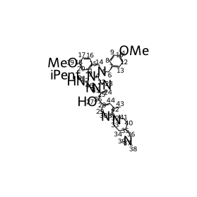 CCCC(C)Nc1nc(N(Cc2ccc(OC)cc2)Cc2ccc(OC)cc2)c2ncc(C(O)c3cnc(N4CCC(CN(C)C)CC4)c(C)c3)n2n1